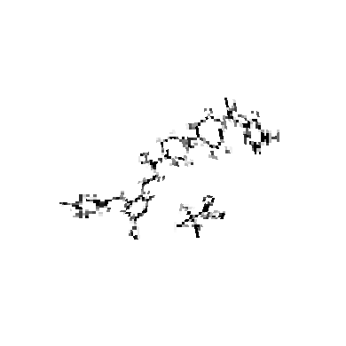 Cc1nnn(Cc2cc(Cl)ccc2C=CC(=O)N2CCN(C3CCN(C(=O)c4c[nH]nn4)CC3)CC2)n1.O=C(O)C(F)(F)F